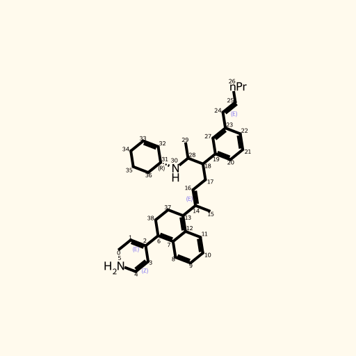 C/C=C(\C=C/N)C1=c2ccccc2=C(/C(C)=C/CC(c2cccc(/C=C/CCC)c2)C(C)N[C@H]2C=CCCC2)CC1